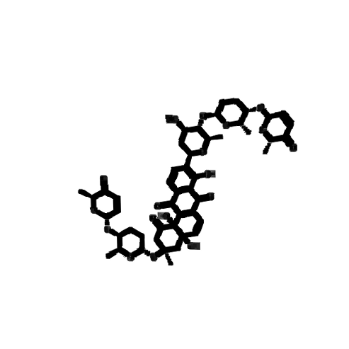 C[C@@H]1O[C@@H](O[C@H]2CC[C@H](O[C@H]3[C@H](O)C[C@H](c4ccc5c(c4O)C(=O)C4=C(C5=O)[C@@]5(O)C(=O)C[C@](C)(O[C@H]6CC[C@H](O[C@H]7C=CC(=O)[C@H](C)O7)[C@H](C)O6)C[C@@]5(O)C=C4)O[C@@H]3C)O[C@H]2C)C=CC1=O